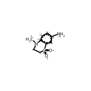 CN1CCS(=O)(=O)c2cc(N)ccc21